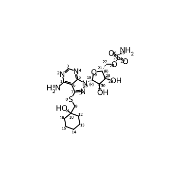 Nc1ncnc2c1c(SCC1(O)CCCCC1)nn2[C@@H]1O[C@H](COS(N)(=O)=O)[C@@H](O)[C@H]1O